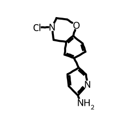 Nc1ccc(-c2ccc3c(c2)CN(Cl)CCO3)cn1